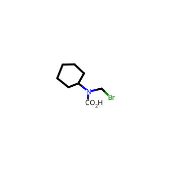 O=C(O)N(CBr)C1CCCCC1